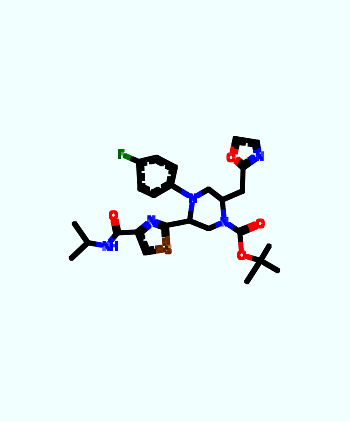 CC(C)NC(=O)c1csc(C2CN(C(=O)OC(C)(C)C)C(Cc3ncco3)CN2c2ccc(F)cc2)n1